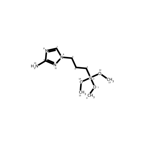 CO[Si](CCCn1cnc(N)n1)(OC)OC